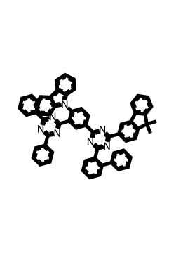 CC1(C)c2ccccc2-c2cc(-c3nc(-c4ccc(-n5c6ccccc6c6ccccc65)c(-c5nc(-c6ccccc6)nc(-c6ccccc6)n5)c4)nc(-c4ccccc4-c4ccccc4)n3)ccc21